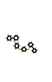 c1ccc(-c2ccccc2Sc2ccc(Sc3ccc(Sc4ccccc4-c4ccccc4)cc3)cc2)cc1